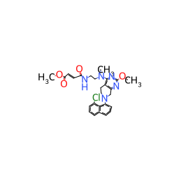 COC(=O)/C=C/C(=O)NCCN(C)c1nc(OC)nc2c1CCN(c1cccc3cccc(Cl)c13)C2